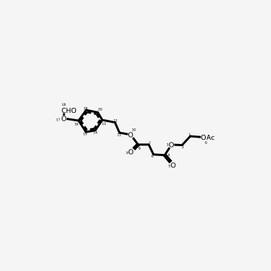 CC(=O)OCCOC(=O)CCC(=O)OCCc1ccc(OC=O)cc1